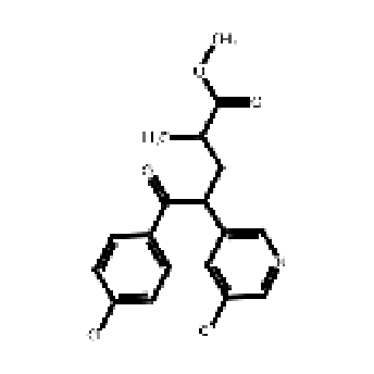 COC(=O)C(C)CC(C(=O)c1ccc(Cl)cc1)c1cncc(Cl)c1